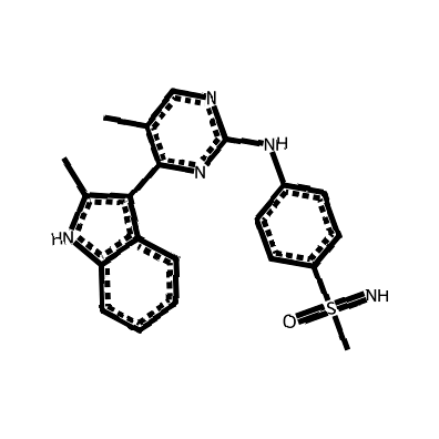 Cc1cnc(Nc2ccc(S(C)(=N)=O)cc2)nc1-c1c(C)[nH]c2ccccc12